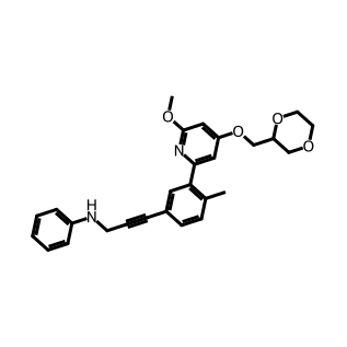 COc1cc(OCC2COCCO2)cc(-c2cc(C#CCNc3ccccc3)ccc2C)n1